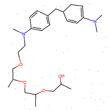 CC(O)COC(C)COC(C)COCCN(C)c1ccc(CC2C=CC(N(C)C)=CC2)cc1